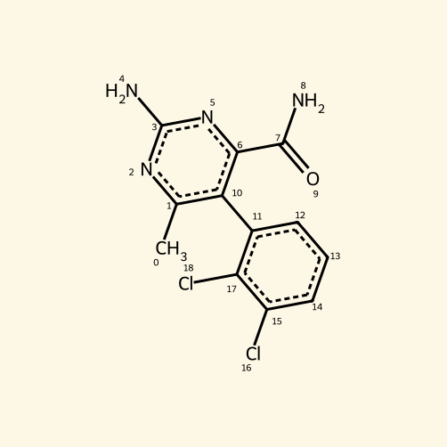 Cc1nc(N)nc(C(N)=O)c1-c1cccc(Cl)c1Cl